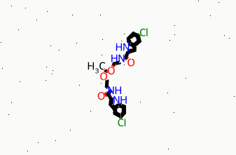 CC(OCCNC(=O)c1cc2cc(Cl)ccc2[nH]1)OCCNC(=O)c1cc2cc(Cl)ccc2[nH]1